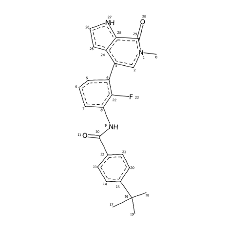 Cn1cc(-c2cccc(NC(=O)c3ccc(C(C)(C)C)cc3)c2F)c2cc[nH]c2c1=O